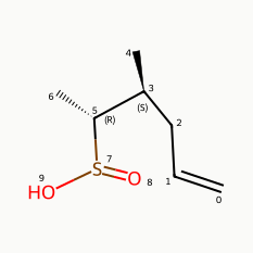 C=CC[C@H](C)[C@@H](C)S(=O)O